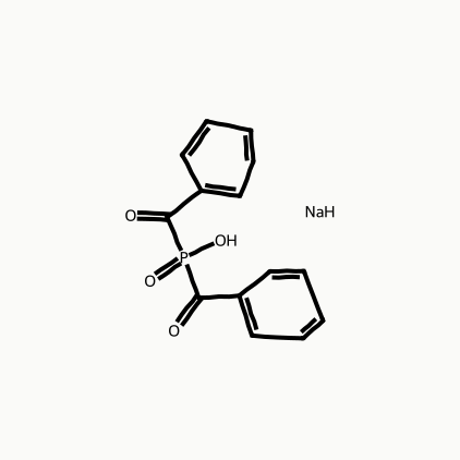 O=C(c1ccccc1)P(=O)(O)C(=O)c1ccccc1.[NaH]